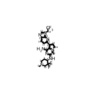 CN1CC[C@@H](Nc2nc(N)c3c(-c4ccc5ncn(CC(F)(F)F)c5n4)ccn3n2)C(F)(F)C1